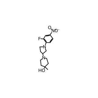 CC1(O)CCN(C2CCN(c3ccc([N+](=O)[O-])cc3F)C2)CC1